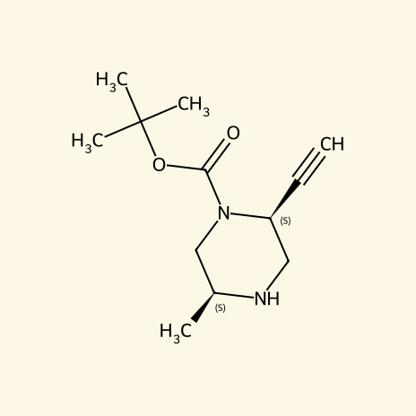 C#C[C@H]1CN[C@@H](C)CN1C(=O)OC(C)(C)C